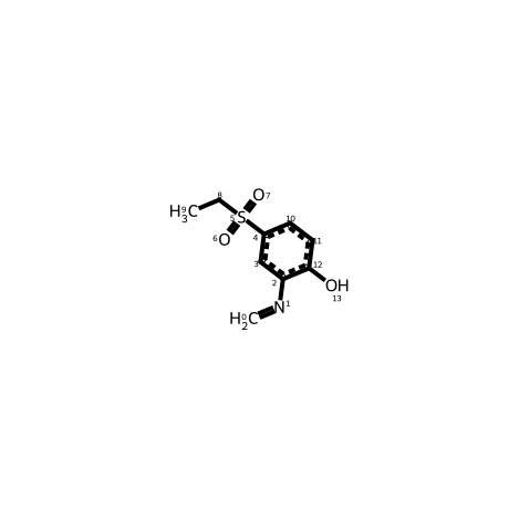 C=Nc1cc(S(=O)(=O)CC)ccc1O